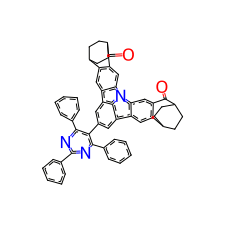 O=C1c2cc3c(cc2C2CCC1CC2)c1cc(-c2c(-c4ccccc4)nc(-c4ccccc4)nc2-c2ccccc2)cc2c4cc5c(cc4n3c12)C(=O)C1CCC5CC1